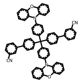 N#Cc1cccc(-c2ccc(C(c3ccc(-c4cccc(C#N)c4)cc3)(c3ccc(N4c5ccccc5Oc5ccccc54)cc3)c3ccc(N4c5ccccc5Oc5ccccc54)cc3)cc2)c1